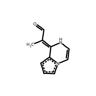 C/C(C=O)=C1/NC=Cn2cccc21